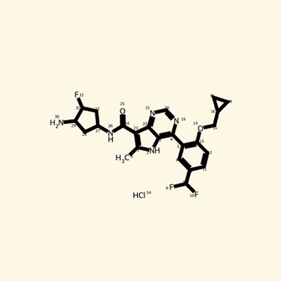 Cc1[nH]c2c(-c3cc(C(F)F)ccc3OCC3CC3)ncnc2c1C(=O)NC1CC(N)C(F)C1.Cl